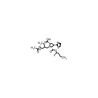 CCCC(F)OC(=O)[C@H]1[C@H](c2nccs2)C[C@H](C(=O)O)N1CC(CC)CNC(C)=O